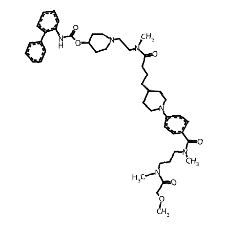 COCC(=O)N(C)CCCN(C)C(=O)c1ccc(N2CCC(CCCC(=O)N(C)CCN3CCC(OC(=O)Nc4ccccc4-c4ccccc4)CC3)CC2)cc1